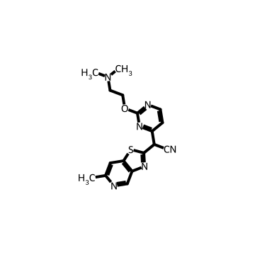 Cc1cc2sc(C(C#N)c3ccnc(OCCN(C)C)n3)nc2cn1